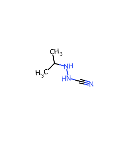 CC(C)NNC#N